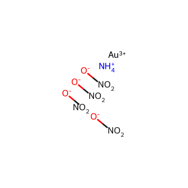 O=[N+]([O-])[O-].O=[N+]([O-])[O-].O=[N+]([O-])[O-].O=[N+]([O-])[O-].[Au+3].[NH4+]